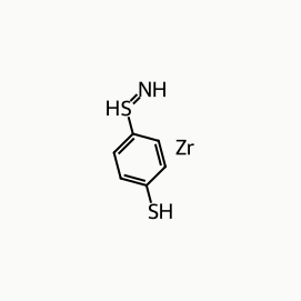 N=[SH]c1ccc(S)cc1.[Zr]